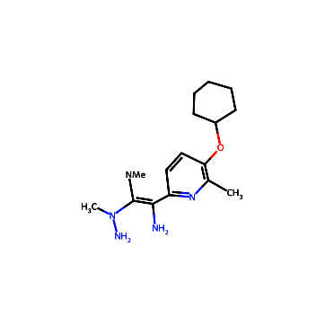 CN/C(=C(/N)c1ccc(OC2CCCCC2)c(C)n1)N(C)N